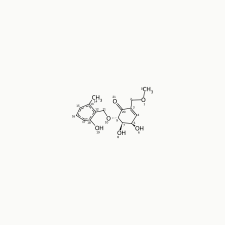 COCC1=C[C@@H](O)[C@@H](O)[C@H](OCc2c(C)cccc2O)C1=O